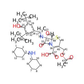 C1CCC(NC2CCCCC2)CC1.CO[C@@]1(N=Cc2cc(C(C)(C)C)c(O)c(C(C)(C)C)c2)C(=O)N2C(C(=O)O)=C(COC(C)=O)CS[C@H]21